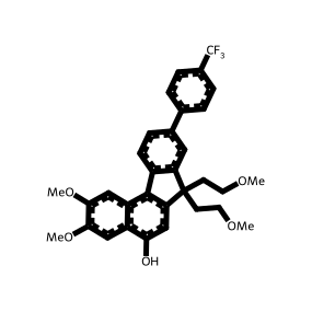 COCCC1(CCOC)c2cc(-c3ccc(C(F)(F)F)cc3)ccc2-c2c1cc(O)c1cc(OC)c(OC)cc21